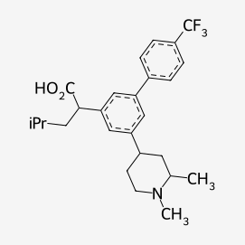 CC(C)CC(C(=O)O)c1cc(-c2ccc(C(F)(F)F)cc2)cc(C2CCN(C)C(C)C2)c1